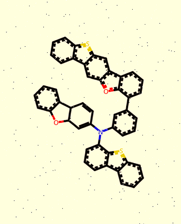 C1=CC2c3ccccc3OC2C=C1N(c1cccc(-c2cccc3c2oc2cc4c(cc23)sc2ccccc24)c1)c1cccc2c1sc1ccccc12